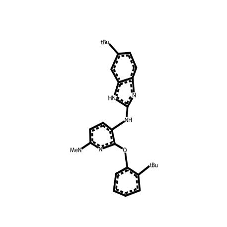 CNc1ccc(Nc2nc3ccc(C(C)(C)C)cc3[nH]2)c(Oc2ccccc2C(C)(C)C)n1